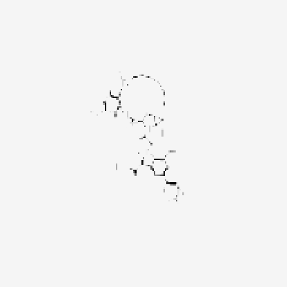 CC(=O)c1nn(CC(=O)N2[C@H]3C[C@@]4(CCCCCCCN(C)Cc5c(C)cc(Br)nc5NC3=O)C[C@@H]24)c2c(CF)cc(-c3cnc(C)nc3)cc12